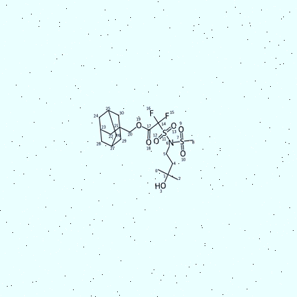 CC(C)(O)CCN(S(C)(=O)=O)S(=O)(=O)C(F)(F)C(=O)OCC12CC3CC(CC(C3)C1)C2